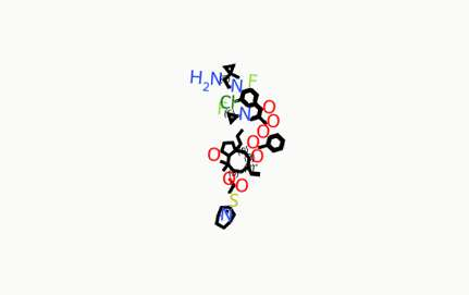 C=C[C@@]1(C)C[C@H](OC(=O)CSC2CC3CCC(C2)N3C)C(C)(C)C2C(=O)CCC2(CCC)[C@H](C)[C@H]1OC(=O)c1ccccc1OC(=O)c1cn(C2C[C@@H]2F)c2c(Cl)c(N3C[C@@H](N)C4(CC4)C3)c(F)cc2c1=O